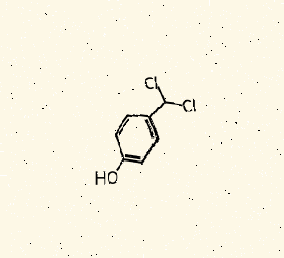 Oc1ccc(C(Cl)Cl)cc1